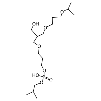 CC(C)COP(=O)(O)OCCCOCC(CO)COCCCOC(C)C